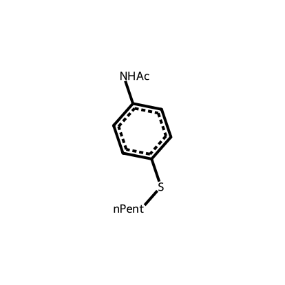 CCCCCSc1ccc(NC(C)=O)cc1